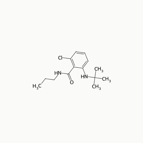 CCCNC(=O)c1c(Cl)cccc1NC(C)(C)C